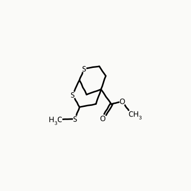 COC(=O)C12CCSC(C1)SC(SC)C2